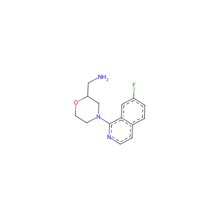 NCC1CN(c2nccc3ccc(F)cc23)CCO1